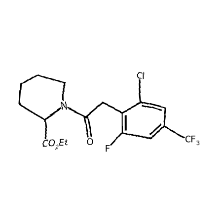 CCOC(=O)C1CCCCN1C(=O)Cc1c(F)cc(C(F)(F)F)cc1Cl